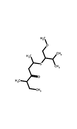 CCC(C)C(=O)CC(C)SC(COC)C(C)C